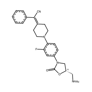 CC(=O)NC[C@H]1CN(c2ccc(N3CCC(=C(C#N)c4ccccc4)CC3)c(F)c2)C(=O)O1